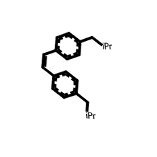 CC(C)Cc1ccc(/C=C\c2ccc(CC(C)C)cc2)cc1